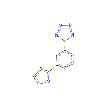 c1cc(-c2nccs2)cc(C2N=NN=N2)c1